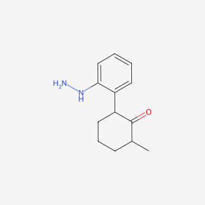 CC1CCCC(c2ccccc2NN)C1=O